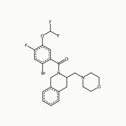 O=C(c1cc(OC(F)F)c(F)cc1Br)N1Cc2ccccc2CC1CN1CCOCC1